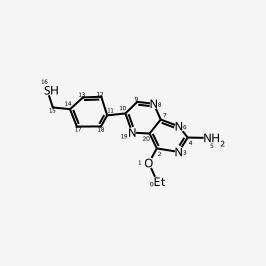 CCOc1nc(N)nc2ncc(-c3ccc(CS)cc3)nc12